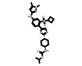 Cc1cc(Nc2ccc(-c3cnc([C@H]4CC[C@H](NC(=O)OC(C)C)CC4)s3)c(S(=O)(=O)C3CCC3)c2)nn1C